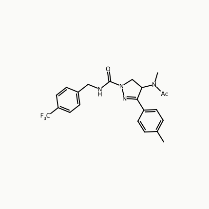 CC(=O)N(C)C1CN(C(=O)NCc2ccc(C(F)(F)F)cc2)N=C1c1ccc(C)cc1